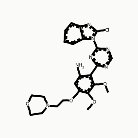 COc1c(OCCN2CCOCC2)cc(N)c(-c2ncnc(-n3c(Cl)nc4ccccc43)n2)c1OC